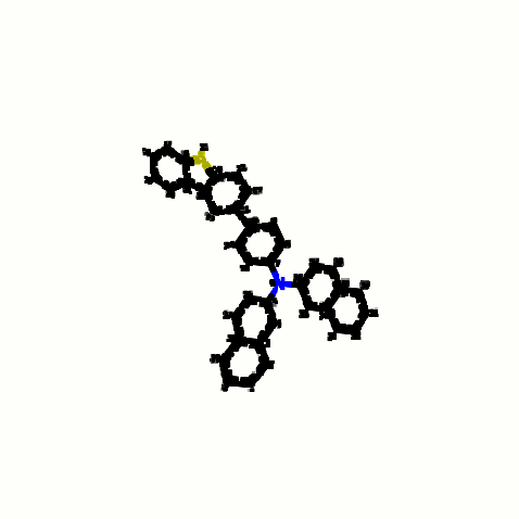 c1ccc2cc(N(c3ccc(-c4ccc5sc6ccccc6c5c4)cc3)c3ccc4ccccc4c3)ccc2c1